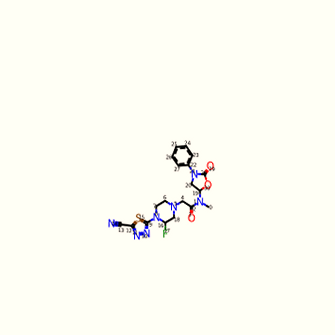 CN(C(=O)CN1CCN(c2nnc(C#N)s2)C(F)C1)C1CN(c2ccccc2)C(=O)O1